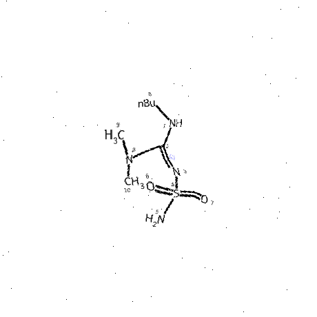 CCCCN/C(=N/S(N)(=O)=O)N(C)C